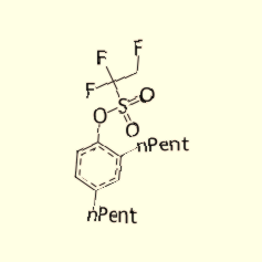 CCCCCc1ccc(OS(=O)(=O)C(F)(F)CF)c(CCCCC)c1